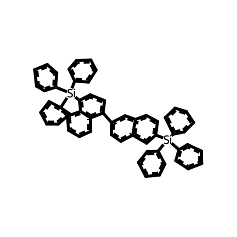 c1ccc([Si](c2ccccc2)(c2ccccc2)c2ccc3cc(-c4ccc([Si](c5ccccc5)(c5ccccc5)c5ccccc5)c5ccccc45)ccc3c2)cc1